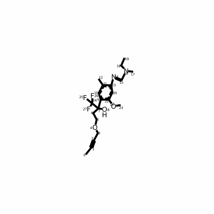 CC#CCOCCC(O)(c1cc(C)c(/N=C/N(C)CC)cc1OC)C(F)(F)F